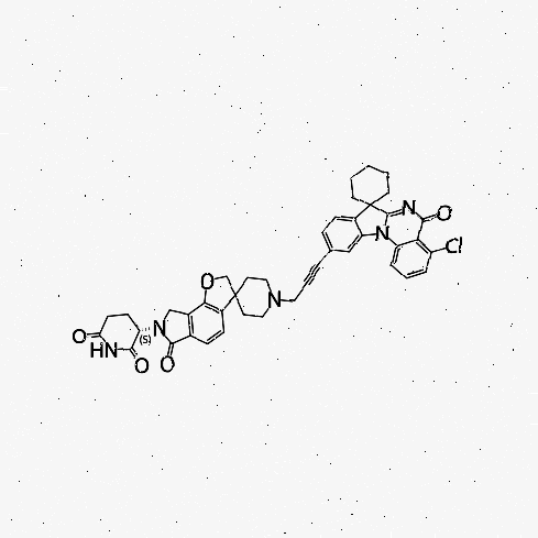 O=C1CC[C@H](N2Cc3c(ccc4c3OCC43CCN(CC#Cc4ccc5c(c4)-n4c(nc(=O)c6c(Cl)cccc64)C54CCCCC4)CC3)C2=O)C(=O)N1